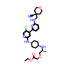 CCOC(=O)[C@@H](C)OC[C@H](C)N[C@H]1CC[C@H](Nc2cc(-c3cccc(NCC4(C#N)CCOCC4)n3)c(Cl)cn2)CC1